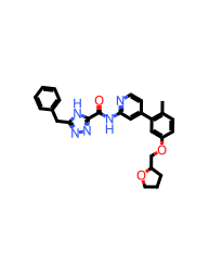 Cc1ccc(OCC2CCCO2)cc1-c1ccnc(NC(=O)c2nnc(Cc3ccccc3)[nH]2)c1